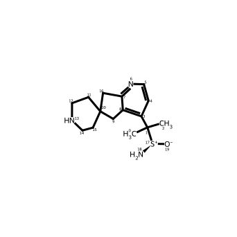 CC(C)(c1ccnc2c1CC1(CCNCC1)C2)[S@+](N)[O-]